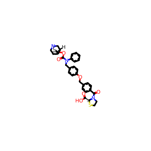 O=C(O)[C@@H]1SCCN1C(=O)c1ccc(COc2ccc(CN(C(=O)O[C@H]3CN4CCC3CC4)c3ccccc3)cc2)cc1